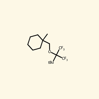 CC1(COC(C(C)(C)C)(C(F)(F)F)C(F)(F)F)CCCCC1